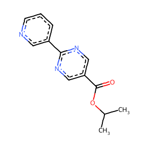 CC(C)OC(=O)c1cnc(-c2cccnc2)nc1